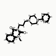 Cn1c(=O)n(CCCN2CCN(c3ncccn3)CC2)c(=O)c2ccccc21